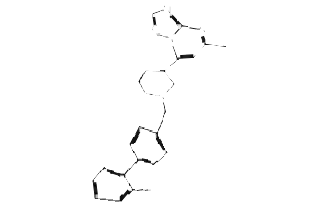 Cc1cc(C2CCCN(Cc3ccc(-c4ccccc4Cl)cc3)C2)n2ncnc2n1